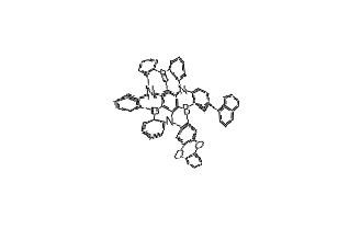 c1ccc2c(c1)Oc1cc3c(cc1O2)N1c2ccccc2B2c4ccccc4N4c5ccccc5B5c6ccccc6N6c7ccc(-c8cccc9ccccc89)cc7B3c3c6c5c4c2c31